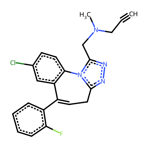 C#CCN(C)Cc1nnc2n1-c1ccc(Cl)cc1C(c1ccccc1F)=CC2